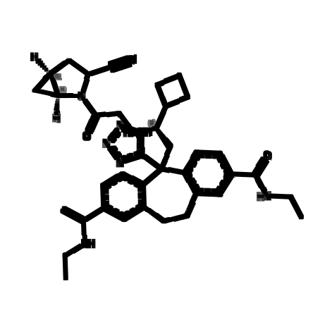 C=C(NCC)c1ccc2c(c1)CCc1cc(C(=O)NCC)ccc1C2(C[C@@H](NCC(=O)N1C(C#N)C[C@@H]2C[C@@H]21)C1CCC1)c1nnn[nH]1